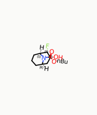 CCCCOC(=O)N1[C@@H]2CCC[C@H]1[C@H](F)[C@H](O)C2